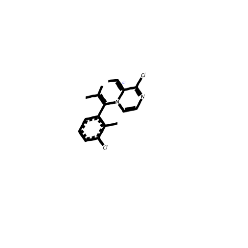 C/C=C1/C(Cl)=NC=CN1C(=C(C)C)c1cccc(Cl)c1C